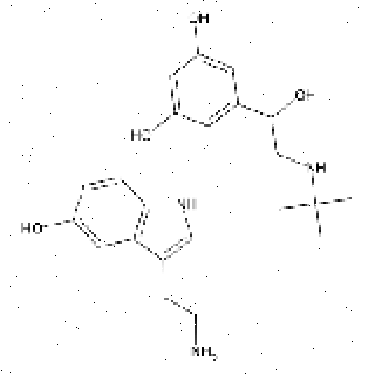 CC(C)(C)NCC(O)c1cc(O)cc(O)c1.NCCc1c[nH]c2ccc(O)cc12